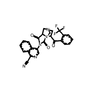 N#Cc1ncc(N2C(=O)C3CN4CC(C(=O)c5ccccc5C(F)(F)F)[N+]3(C4)C2=O)c2ccccc12